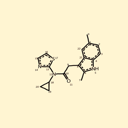 Cc1ccc2[nH]c(C)c(CC(=O)N(c3nccs3)C3CC3)c2c1